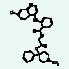 CN1CCC(OC(=O)COC(=O)c2ccccc2Nc2ccnc3cc(Cl)ccc23)(c2ccccc2)CC1